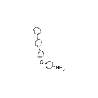 Nc1ccc(Oc2ccc(-c3ccc(-c4ccccc4)cc3)cc2)cc1